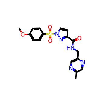 COc1ccc(S(=O)(=O)n2ccc(C(=O)NCc3cnc(C)cn3)n2)cc1